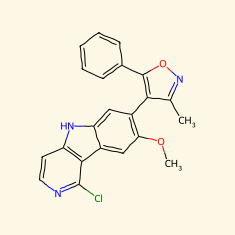 COc1cc2c(cc1-c1c(C)noc1-c1ccccc1)[nH]c1ccnc(Cl)c12